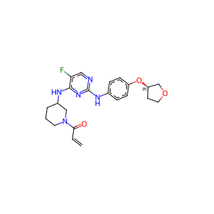 C=CC(=O)N1CCCC(Nc2nc(Nc3ccc(O[C@@H]4CCOC4)cc3)ncc2F)C1